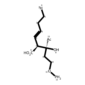 [2H]CC/C=C/[C@H](C(=O)O)[C@@](O)(CCOP)C(C)=O